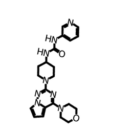 O=C(Nc1cccnc1)NC1CCN(c2nc(N3CCOCC3)c3cccn3n2)CC1